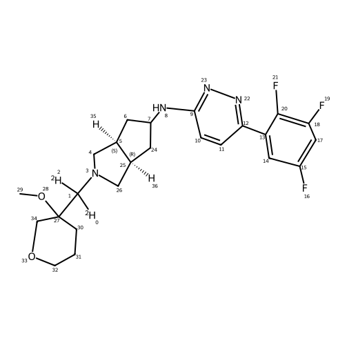 [2H]C([2H])(N1C[C@H]2CC(Nc3ccc(-c4cc(F)cc(F)c4F)nn3)C[C@H]2C1)C1(OC)CCCOC1